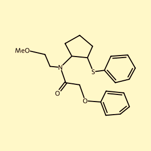 COCCN(C(=O)COc1ccccc1)C1CCCC1Sc1ccccc1